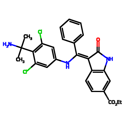 CCOC(=O)c1ccc2c(c1)NC(=O)C2=C(Nc1cc(Cl)c(C(C)(C)N)c(Cl)c1)c1ccccc1